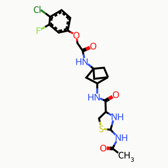 CC(=O)NC1NC(C(=O)NC2CC3(NC(=O)COc4ccc(Cl)c(F)c4)CC2C3)CS1